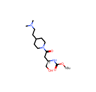 CCCCOC(=O)N[C@@H](CO)CC(=O)N1CCC(CCN(C)C)CC1